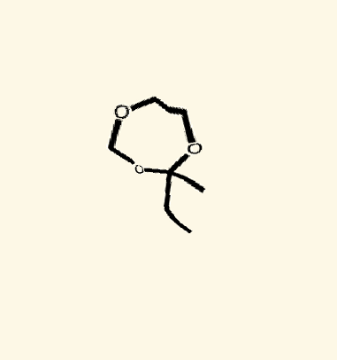 CCC1(C)OCCOCO1